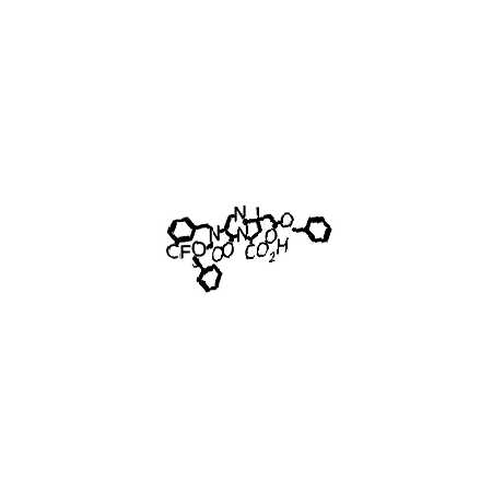 C[C@@]1(CC(=O)OCc2ccccc2)C[C@@H](C(=O)O)n2c1ncc(N(Cc1cccc(C(F)(F)F)c1)C(=O)OCc1ccccc1)c2=O